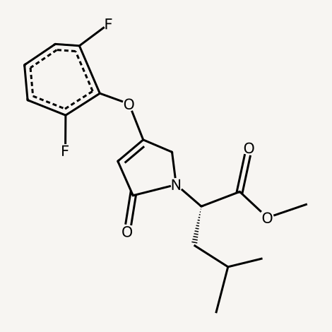 COC(=O)[C@H](CC(C)C)N1CC(Oc2c(F)cccc2F)=CC1=O